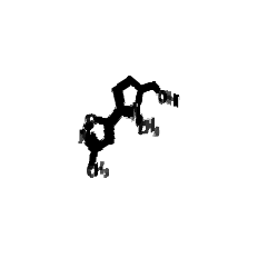 Cc1cc(C2CCC(CO)N2C)on1